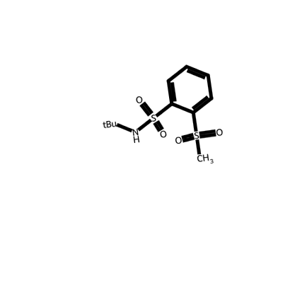 CC(C)(C)NS(=O)(=O)c1ccccc1S(C)(=O)=O